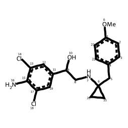 COc1ccc(CC2(NCC(O)c3cc(Cl)c(N)c(Cl)c3)CC2)cc1